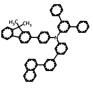 CC1(C)c2ccccc2-c2ccc(-c3ccc(N(c4cccc(-c5cccc(-c6cccc7ccccc67)c5)c4)c4cc(-c5ccccc5)cc(-c5ccccc5)c4)cc3)cc21